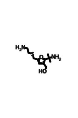 CC(C)(N)c1oc(CSCCN)cc1CO